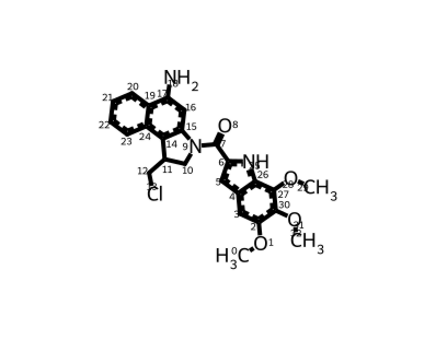 COc1cc2cc(C(=O)N3CC(CCl)c4c3cc(N)c3ccccc43)[nH]c2c(OC)c1OC